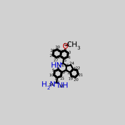 COc1ccc(C2Nc3ccc(C(=N)N)cc3C3c4ccccc4CC23)c2ccccc12